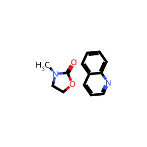 CN1CCOC1=O.c1ccc2ncccc2c1